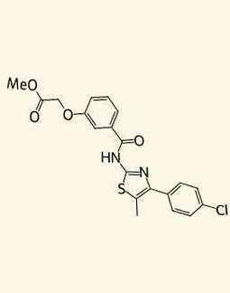 COC(=O)COc1cccc(C(=O)Nc2nc(-c3ccc(Cl)cc3)c(C)s2)c1